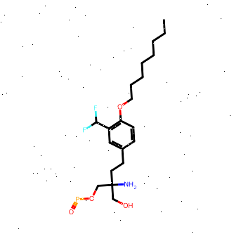 CCCCCCCCOc1ccc(CCC(N)(CO)COP=O)cc1C(F)F